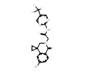 O=C(CN1CC2(CC2)c2cc(Br)ccc2C1=O)Nc1ncc(C(F)(F)F)cn1